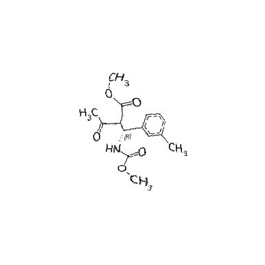 COC(=O)N[C@@H](c1cccc(C)c1)C(C(C)=O)C(=O)OC